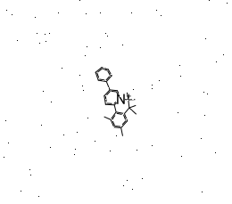 Cc1cc(C)c2c(c1)C(C)(C)C(C)(C)[n+]1cc(-c3ccccc3)ccc1-2